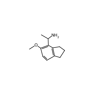 COc1ccc2c(c1C(C)N)CCC2